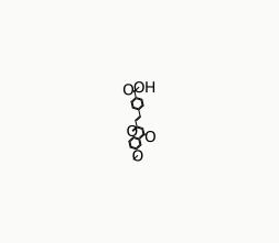 COc1ccc2oc(C=Cc3ccc(C(=O)O)cc3)cc(=O)c2c1